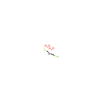 O.O.[F][Sr][F]